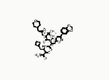 CC(C)(C)[C@H](CC(=O)CC1CCOCC1)C(=O)N1C[C@@]2(CC(c3ccc4c(c3)OCO4)=NO2)C[C@H]1C(=O)NC(CC1CCC1)C(=O)C(N)=O